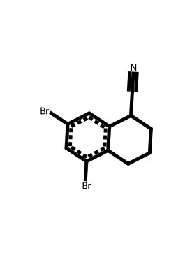 N#CC1CCCc2c(Br)cc(Br)cc21